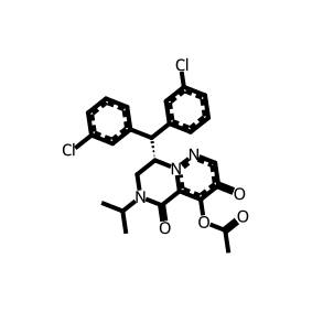 CC(=O)Oc1c2n(ncc1=O)[C@@H](C(c1cccc(Cl)c1)c1cccc(Cl)c1)CN(C(C)C)C2=O